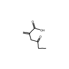 C=C(CC(=O)CC)C(=O)O